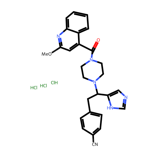 COc1cc(C(=O)N2CCN(C(Cc3ccc(C#N)cc3)c3cnc[nH]3)CC2)c2ccccc2n1.Cl.Cl.Cl